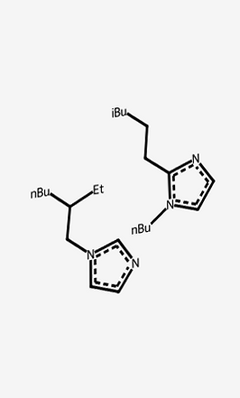 CCCCC(CC)Cn1ccnc1.CCCCn1ccnc1CCC(C)CC